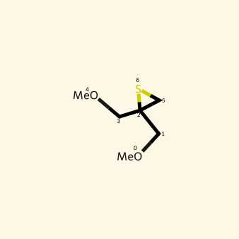 COCC1(COC)CS1